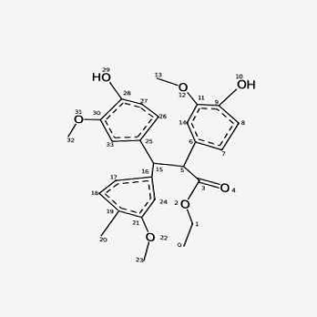 CCOC(=O)C(c1ccc(O)c(OC)c1)C(c1ccc(C)c(OC)c1)c1ccc(O)c(OC)c1